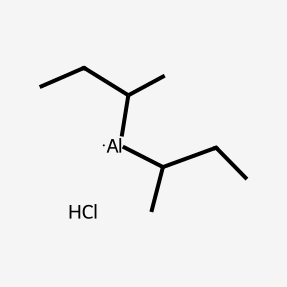 CC[CH](C)[Al][CH](C)CC.Cl